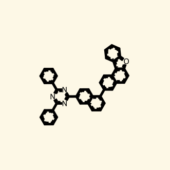 c1ccc(-c2nc(-c3ccccc3)nc(-c3ccc4c(-c5ccc6c(ccc7oc8ccccc8c76)c5)cccc4c3)n2)cc1